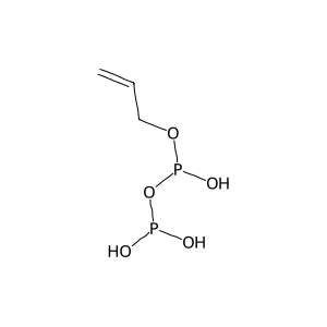 C=CCOP(O)OP(O)O